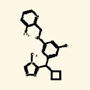 Cn1cnnc1C(c1cc(Br)cc(NCc2ncccc2C(F)(F)F)c1)C1CCC1